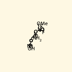 COCCCn1c(C2CCCN(C(=O)C[C@H](N)Cc3ccc(-c4cnc(O)nc4)cc3)C2)cc2c(F)ccc(F)c21